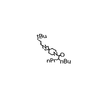 CCCCC(CCC)C(=O)N1CCC2(CC1)CN(CCCC(C)(C)C)C2